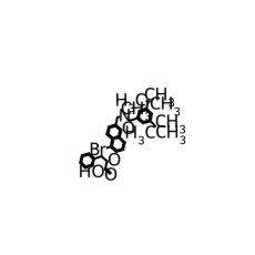 CN(Cc1ccc2c(Br)c(OC(Cc3ccccc3)C(=O)O)ccc2c1)C(=O)c1cc(C(C)(C)C)cc(C(C)(C)C)c1